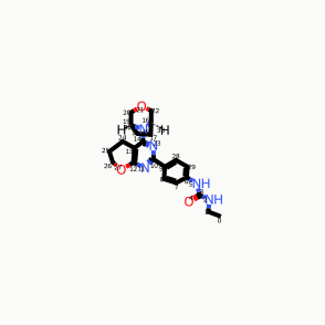 CCNC(=O)Nc1ccc(-c2nc3c(c(N4[C@@H]5CC[C@H]4COC5)n2)CCCO3)cc1